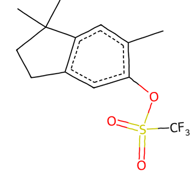 Cc1cc2c(cc1OS(=O)(=O)C(F)(F)F)CCC2(C)C